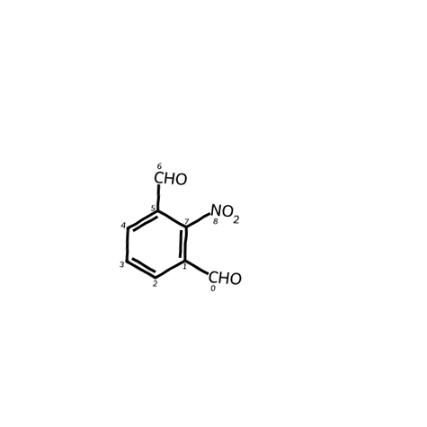 O=Cc1cccc(C=O)c1[N+](=O)[O-]